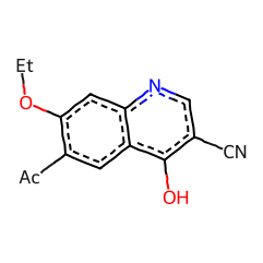 CCOc1cc2ncc(C#N)c(O)c2cc1C(C)=O